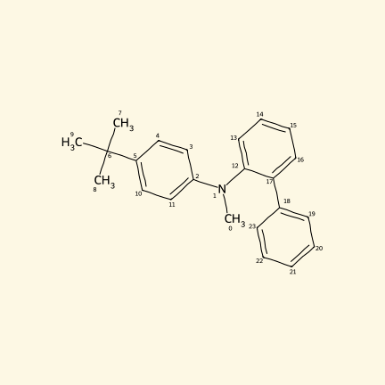 CN(c1ccc(C(C)(C)C)cc1)c1ccccc1-c1ccccc1